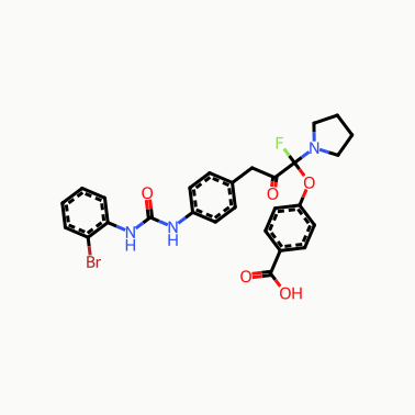 O=C(Nc1ccc(CC(=O)C(F)(Oc2ccc(C(=O)O)cc2)N2CCCC2)cc1)Nc1ccccc1Br